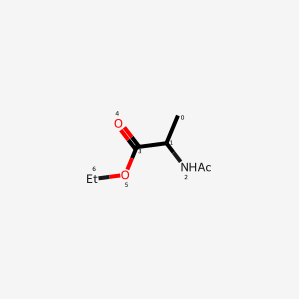 [CH2]C(NC(C)=O)C(=O)OCC